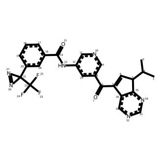 CC(C)C1C=C(C(=O)c2cncc(NC(=O)c3cccc(C4(C(F)(F)F)N=N4)c3)c2)c2cncnc21